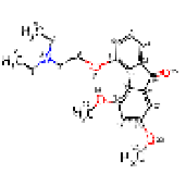 CCN(CC)CCOc1cccc2c1-c1c(OC)cc(OC)cc1C2=O